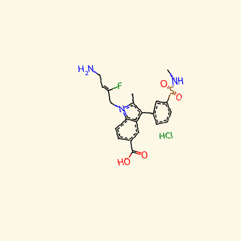 CNS(=O)(=O)c1cccc(-c2c(C)n(CC(F)=CCN)c3ccc(C(=O)O)cc23)c1.Cl